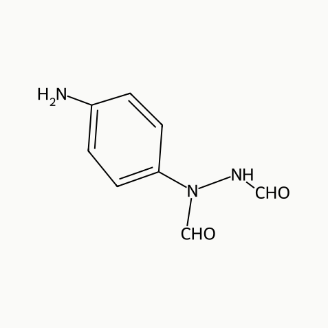 Nc1ccc(N(C=O)NC=O)cc1